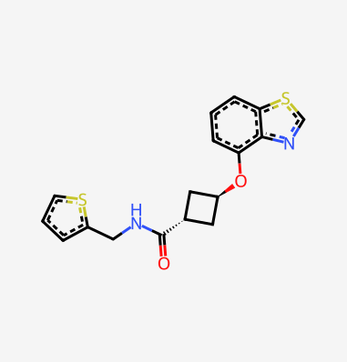 O=C(NCc1cccs1)[C@H]1C[C@H](Oc2cccc3scnc23)C1